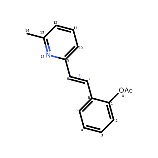 CC(=O)Oc1ccccc1/C=C/c1cccc(C)n1